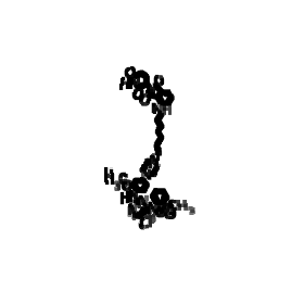 COc1cc(N2CCN(CCCCCCCNc3cccc4c3C(=O)N(C3CCC(=O)NC3=O)C4=O)CC2)ccc1Nc1ncc(Cl)c(Nc2ccccc2P(C)(C)=O)n1